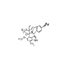 COc1cc(C)c2[nH]ccc2c1C(OC)(N1Cc2ccc(C#N)cc2C1)C(F)(F)F